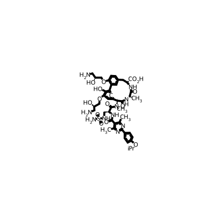 Cc1nc(-c2ccc(OC(C)C)cc2)nc(C)c1C(=O)N[C@@H](CNS(N)(=O)=O)C(=O)N(C)[C@@H]1C(=O)N[C@@H](C)C(=O)N[C@H](C(=O)O)Cc2ccc(OC[C@H](O)CN)c(c2)-c2cc1cc(OC[C@H](O)CN)c2O